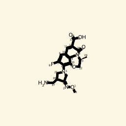 CO/N=C1\CN(c2c(F)cc3cc(C(=O)O)c(=O)n4c3c2OC[C@@H]4C)CC1CN